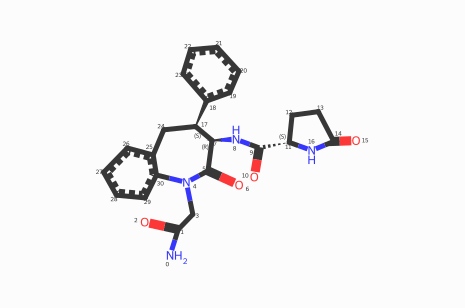 NC(=O)CN1C(=O)[C@H](NC(=O)[C@@H]2CCC(=O)N2)[C@H](c2ccccc2)Cc2ccccc21